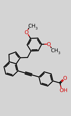 COc1cc(CC2=CCc3cccc(C#Cc4ccc(C(=O)O)cc4)c32)cc(OC)c1